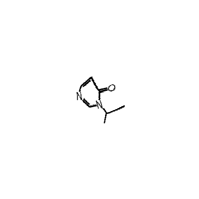 CC(C)n1cnccc1=O